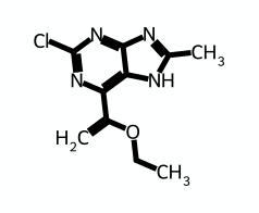 C=C(OCC)c1nc(Cl)nc2nc(C)[nH]c12